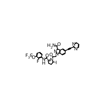 NC(=O)c1nn(CC(=O)N2[C@H](I)CC[C@H]2C(=O)Nc2cccc(OC(F)(F)F)c2F)c2ccc(C#Cc3ncccn3)cc12